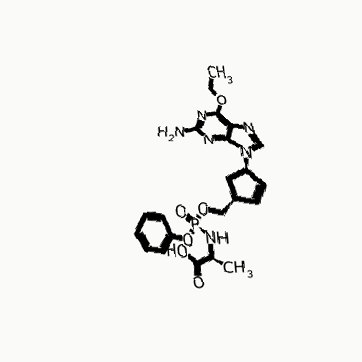 CCOc1nc(N)nc2c1ncn2[C@H]1C=C[C@@H](CO[P@](=O)(N[C@@H](C)C(=O)O)Oc2ccccc2)C1